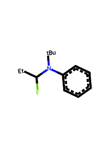 CCC(F)N(c1ccccc1)C(C)(C)C